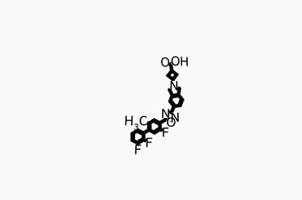 Cc1cc(-c2nc(-c3ccc4c(c3)CN(C3CC(C(=O)O)C3)C4)no2)c(F)cc1-c1cccc(F)c1F